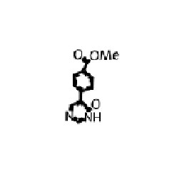 COC(=O)c1ccc(-c2cnc[nH]c2=O)cc1